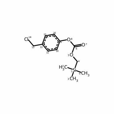 C[Si](C)(C)COC(=O)Oc1ccc(CCl)cc1